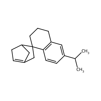 CC(C)c1ccc2c(c1)CCCC21CC2=CCC1C2